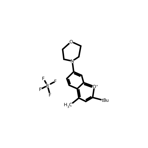 Cc1cc(C(C)(C)C)[o+]c2cc(N3CCOCC3)ccc12.F[B-](F)(F)F